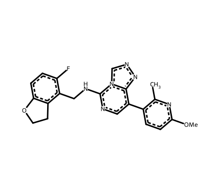 COc1ccc(-c2cnc(NCc3c(F)ccc4c3CCO4)n3cnnc23)c(C)n1